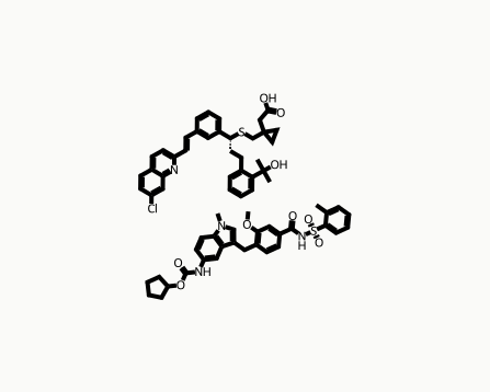 CC(C)(O)c1ccccc1CC[C@@H](SCC1(CC(=O)O)CC1)c1cccc(/C=C/c2ccc3ccc(Cl)cc3n2)c1.COc1cc(C(=O)NS(=O)(=O)c2ccccc2C)ccc1Cc1cn(C)c2ccc(NC(=O)OC3CCCC3)cc12